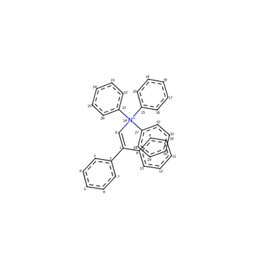 C(=C(c1ccccc1)c1ccccc1)[N+](c1ccccc1)(c1ccccc1)c1ccccc1